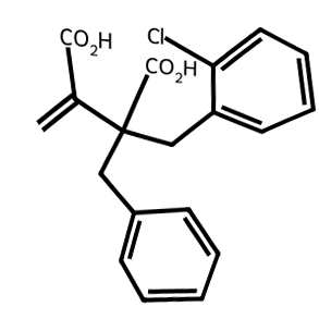 C=C(C(=O)O)C(Cc1ccccc1)(Cc1ccccc1Cl)C(=O)O